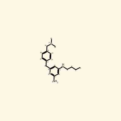 CCCCNc1cc(N)nc(Cc2ccc(CN(C)C)cc2)c1